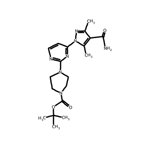 Cc1nn(-c2ccnc(N3CCN(C(=O)OC(C)(C)C)CC3)n2)c(C)c1C(N)=O